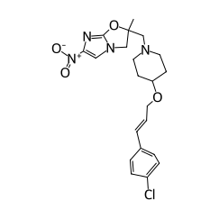 CC1(CN2CCC(OCC=Cc3ccc(Cl)cc3)CC2)Cn2cc([N+](=O)[O-])nc2O1